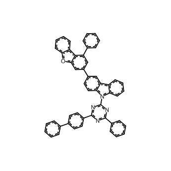 c1ccc(-c2ccc(-c3nc(-c4ccccc4)nc(-n4c5ccccc5c5cc(-c6cc(-c7ccccc7)c7c(c6)oc6ccccc67)ccc54)n3)cc2)cc1